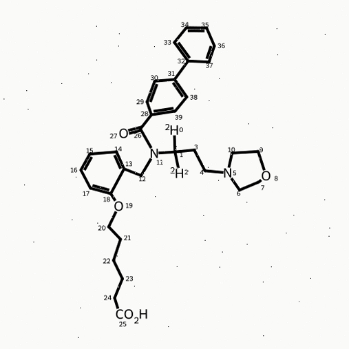 [2H]C([2H])(CCN1CCOCC1)N(Cc1ccccc1OCCCCCC(=O)O)C(=O)c1ccc(-c2ccccc2)cc1